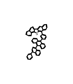 c1ccc(-c2ccc(-c3c4ccccc4c(-c4cccc(-c5c6ccccc6cc6c5sc5c7ccccc7ccc65)c4)c4ccccc34)c3ccccc23)cc1